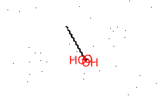 CCCCCC=CCCCCCCCCCCCC(O)C(=O)O